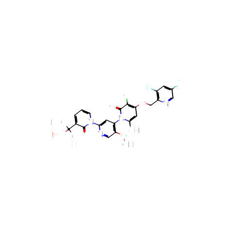 COc1cnc(-n2cccc(C(C)(C)O)c2=O)cc1-n1c(C)cc(OCc2ncc(F)cc2F)c(Cl)c1=O